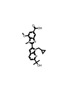 COc1cc(C(=O)O)cc2nc(-c3cc4ccc(C(C)(C)O)nc4n3CC3CC3)n(C)c12